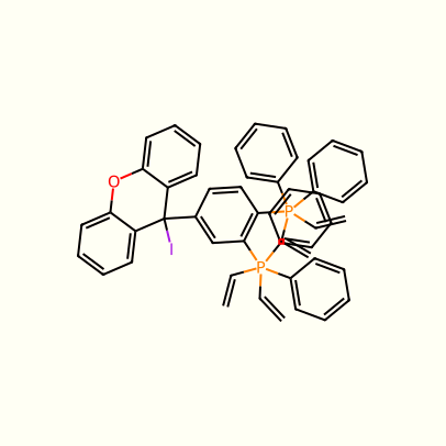 C=CP(C=C)(c1ccccc1)(c1ccccc1)c1ccc(C2(I)c3ccccc3Oc3ccccc32)cc1P(C=C)(C=C)(c1ccccc1)c1ccccc1